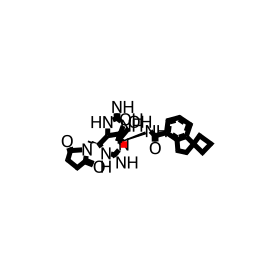 N=C1NC2[C@@H](CN3C(=O)CCC3=O)NC(=N)N3C[C@H](NC(=O)c4cccc5c4CCC54CCC4)C(O)(O)C23N1